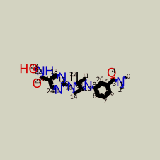 CN(C)C(=O)c1cccc(N2C[C@@H]3C2CN3c2ncc(C(=O)NO)cn2)c1